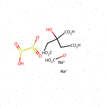 O=C(O)CC(O)(CC(=O)O)C(=O)O.O=C([O-])O.O=S([O-])S(=O)O.[Na+].[Na+]